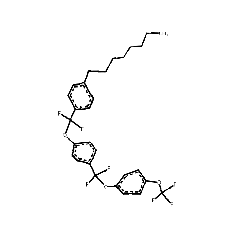 CCCCCCCCc1ccc(C(F)(F)Oc2ccc(C(F)(F)Oc3ccc(OC(F)(F)F)cc3)cc2)cc1